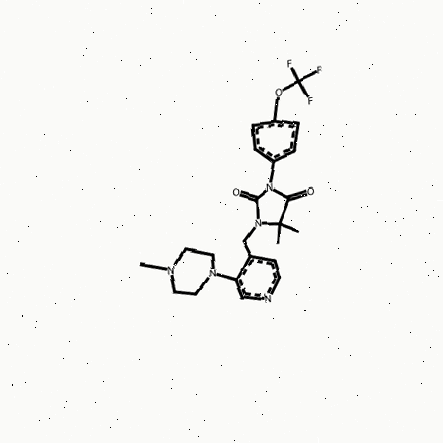 CN1CCN(c2cnccc2CN2C(=O)N(c3ccc(OC(F)(F)F)cc3)C(=O)C2(C)C)CC1